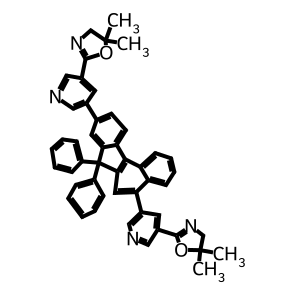 CC1(C)CN=C(c2cncc(-c3ccc4c(c3)C(c3ccccc3)(c3ccccc3)c3cc(-c5cncc(C6=NCC(C)(C)O6)c5)c5ccccc5c3-4)c2)O1